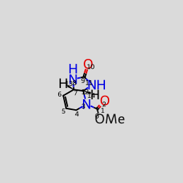 COC(=O)N1CC=C[C@@H]2NC(=O)N[C@@H]21